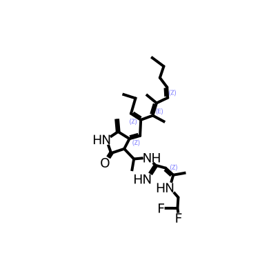 C=C1NC(=O)C(C(C)NC(=N)/C=C(/C)NCC(F)F)/C1=C/C(=C/CC)C(/C)=C(C)/C=C\CCC